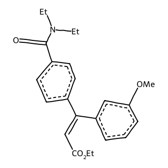 CCOC(=O)C=C(c1ccc(C(=O)N(CC)CC)cc1)c1cccc(OC)c1